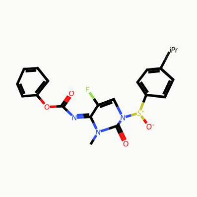 CC(C)c1ccc([S+]([O-])n2cc(F)/c(=N\C(=O)Oc3ccccc3)n(C)c2=O)cc1